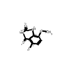 COc1ccc(F)c2c(=O)[nH]c(=O)[nH]c12